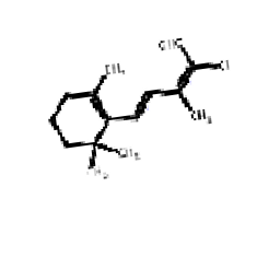 CC1=C(/C=C/C(C)=C(/Cl)C=O)C(C)(C)CCC1